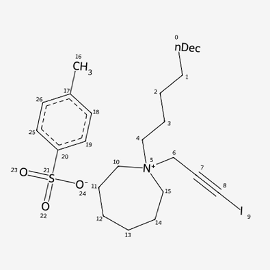 CCCCCCCCCCCCCC[N+]1(CC#CI)CCCCCC1.Cc1ccc(S(=O)(=O)[O-])cc1